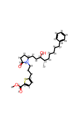 COC(=O)c1ccc(CCCN2C(=O)CCC2CC[C@@H](O)[C@@H](C)CCCCCc2ccccc2)s1